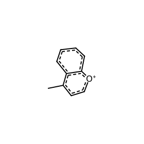 Cc1cc[o+]c2ccccc12